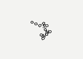 c1ccc(-c2ccc(-c3cccc(-c4cccc5c4sc4c(-c6cccc(-n7c8ccccc8c8ccc(-n9c%10ccccc%10c%10ccccc%109)cc87)c6)cccc45)c3)cc2)cc1